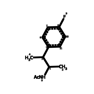 CC(=O)NC(C)C(C)c1ccc(F)cc1